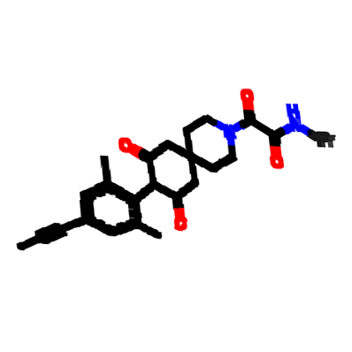 CC#Cc1cc(C)c(C2C(=O)CC3(CCN(C(=O)C(=O)NC(C)C)CC3)CC2=O)c(C)c1